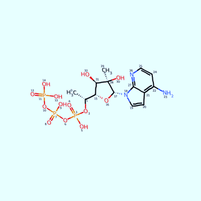 C[C@@H](OP(=O)(O)OP(=O)(O)OP(=O)(O)O)[C@H]1O[C@@H](n2ccc3c(N)ccnc32)[C@](C)(O)[C@@H]1O